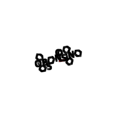 c1ccc(N2c3ccccc3[Si]3(c4ccccc42)c2ccccc2N(c2ccc4c(c2)Sc2cccc5c2B4c2ccccc2O5)c2ccccc23)cc1